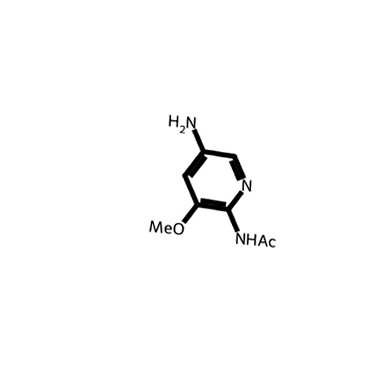 COc1cc(N)cnc1NC(C)=O